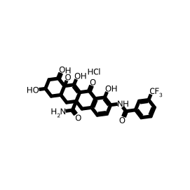 Cl.NC(=O)C12Cc3ccc(NC(=O)c4cccc(C(F)(F)F)c4)c(O)c3C(=O)C1=C(O)C1(O)C(=O)CC(O)CC1C2